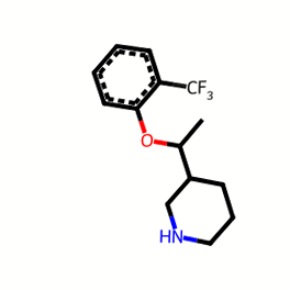 CC(Oc1ccccc1C(F)(F)F)C1CCCNC1